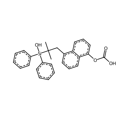 CC(C)(Cc1cccc2c(OC(=O)O)cccc12)[Si](O)(c1ccccc1)c1ccccc1